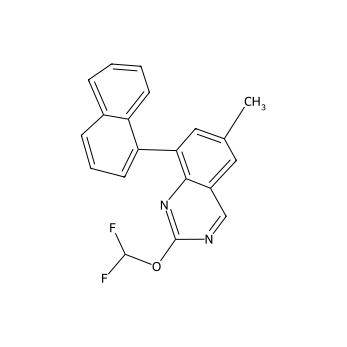 Cc1cc(-c2cccc3ccccc23)c2nc(OC(F)F)ncc2c1